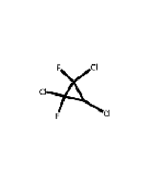 FC1(Cl)[C](Cl)C1(F)Cl